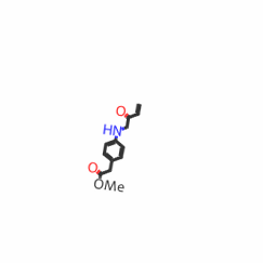 C=CC(=O)CNc1ccc(CC(=O)OC)cc1